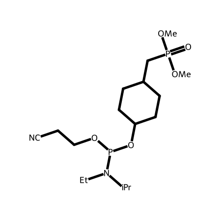 CCN(C(C)C)P(OCCC#N)OC1CCC(CP(=O)(OC)OC)CC1